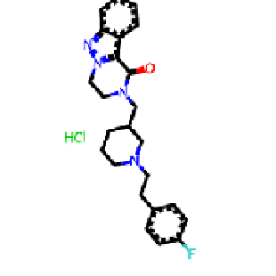 Cl.O=C1c2c3ccccc3nn2CCN1CC1CCCN(CCc2ccc(F)cc2)C1